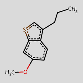 CCCc1csc2cc(OC)ccc12